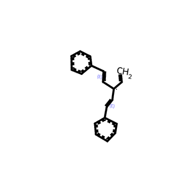 C=C[C](/C=C/c1ccccc1)/C=C/c1ccccc1